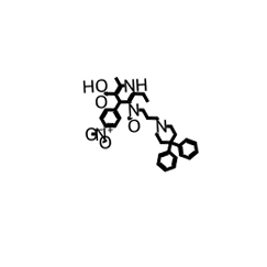 CCC1=C(N(C=O)CCCN2CCC(c3ccccc3)(c3ccccc3)CC2)C(c2ccc([N+](=O)[O-])cc2)C(C(=O)O)=C(C)N1